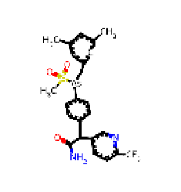 Cc1cc(C)cc(C[As](c2ccc(C(C(N)=O)c3ccc(C(F)(F)F)nc3)cc2)S(C)(=O)=O)c1